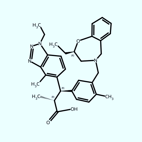 CC[C@@H]1CN(Cc2cc([C@H](c3ccc4c(nnn4CC)c3C)[C@@H](C)C(=O)O)ccc2C)Cc2ccccc2O1